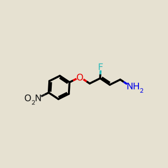 NCC=C(F)COc1ccc([N+](=O)[O-])cc1